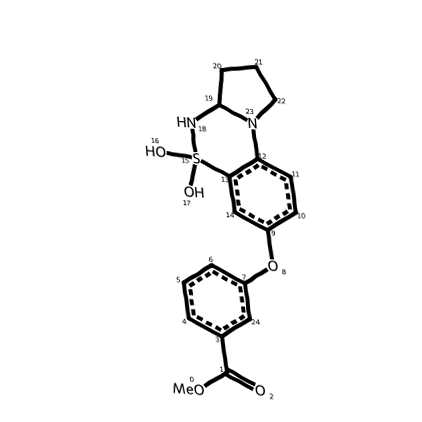 COC(=O)c1cccc(Oc2ccc3c(c2)S(O)(O)NC2CCCN32)c1